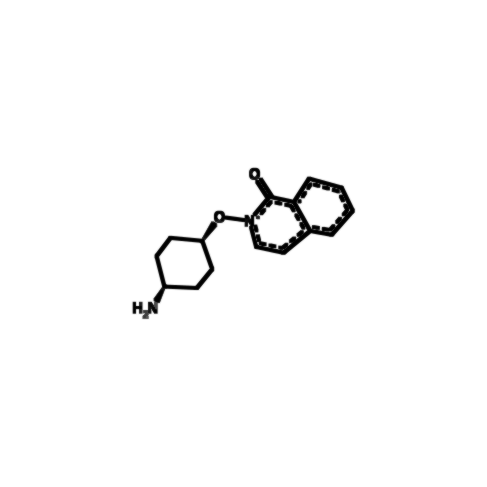 N[C@H]1CC[C@@H](On2ccc3ccccc3c2=O)CC1